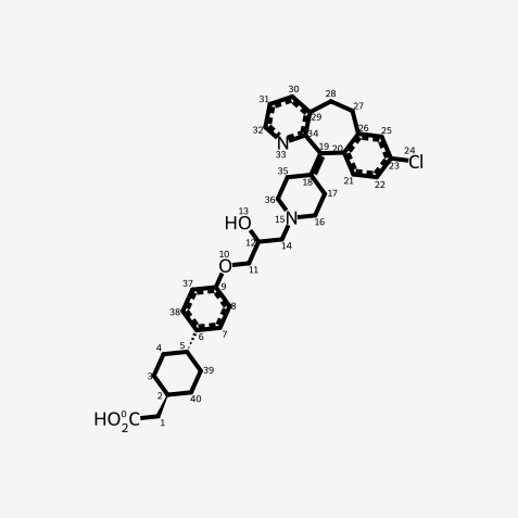 O=C(O)C[C@H]1CC[C@H](c2ccc(OCC(O)CN3CCC(=C4c5ccc(Cl)cc5CCc5cccnc54)CC3)cc2)CC1